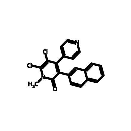 Cn1c(Cl)c(Cl)c(-c2ccncc2)c(-c2ccc3ccccc3c2)c1=O